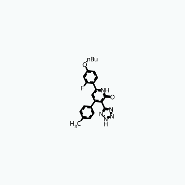 CCCCOc1ccc(-c2cc(-c3ccc(C)cc3)c(-c3nn[nH]n3)c(=O)[nH]2)c(F)c1